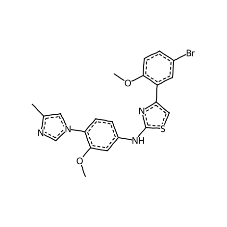 COc1ccc(Br)cc1-c1csc(Nc2ccc(-n3cnc(C)c3)c(OC)c2)n1